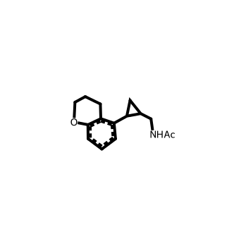 CC(=O)NCC1CC1c1cccc2c1CCCO2